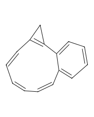 c1cccc2ccccc2c2c(cc1)C2